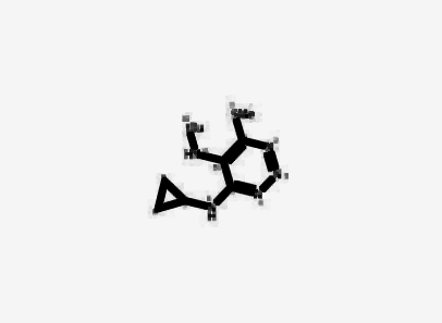 CSc1nnnc(NC2CC2)c1NC(C)(C)C